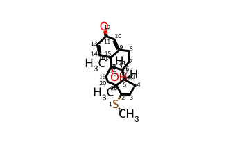 CSC1CC[C@H]2[C@@H]3CCC4=CC(=O)C=C[C@]4(C)[C@@]3(O)CC[C@]12C